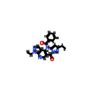 CCc1cc2n(C(=O)c3ccccc3)c3c(cnc4c3cnn4CC)c(=O)n2n1